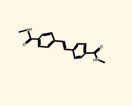 CNC(=O)c1ccc(C=Cc2ccc(C(=O)NC)cc2)cc1